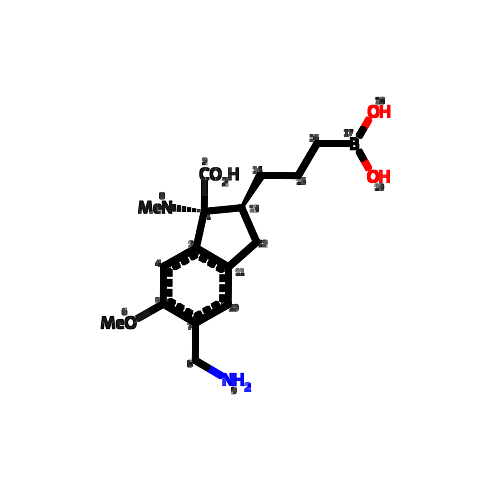 CN[C@@]1(C(=O)O)c2cc(OC)c(CN)cc2C[C@@H]1CCCB(O)O